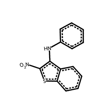 O=[N+]([O-])c1sc2ccccc2c1Nc1ccccc1